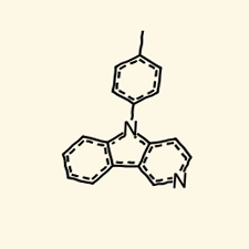 Cc1ccc(-n2c3ccccc3c3cnccc32)cc1